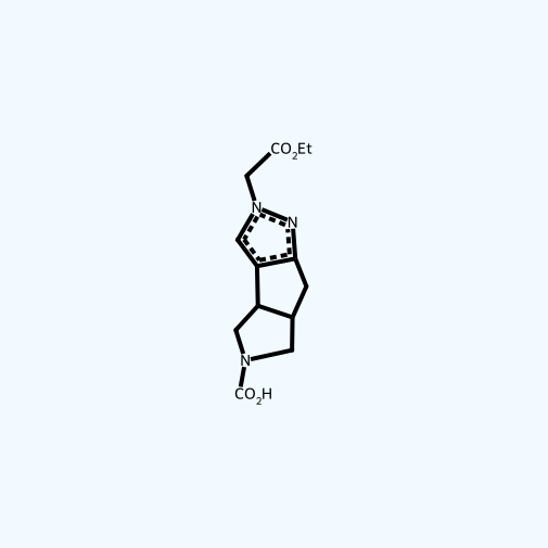 CCOC(=O)Cn1cc2c(n1)CC1CN(C(=O)O)CC21